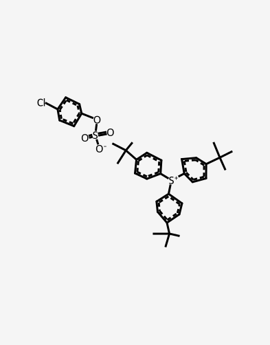 CC(C)(C)c1ccc([S+](c2ccc(C(C)(C)C)cc2)c2ccc(C(C)(C)C)cc2)cc1.O=S(=O)([O-])Oc1ccc(Cl)cc1